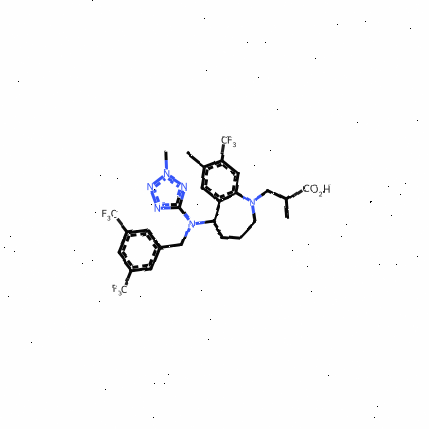 Cc1cc2c(cc1C(F)(F)F)N(CC(C)C(=O)O)CCCC2N(Cc1cc(C(F)(F)F)cc(C(F)(F)F)c1)c1nnn(C)n1